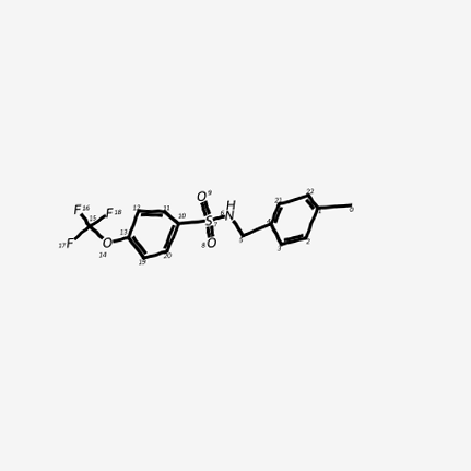 Cc1ccc(CNS(=O)(=O)c2ccc(OC(F)(F)F)cc2)cc1